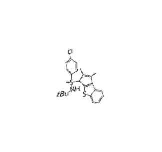 CC1=C(C)C(S(C)(NC(C)(C)C)c2ccc(Cl)cc2)c2sc3ccccc3c21